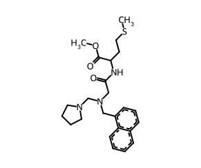 COC(=O)C(CCSC)NC(=O)CN(Cc1cccc2ccccc12)CN1CCCC1